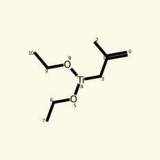 C=C(C)[CH2][Ti]([O]CC)[O]CC